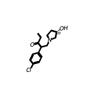 CCC(=O)C(CN1CC[C@H](O)C1)c1ccc(Cl)cc1